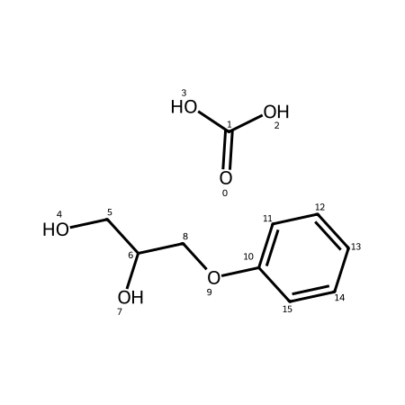 O=C(O)O.OCC(O)COc1ccccc1